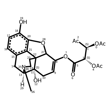 CC(=O)O[C@H](C(C)=O)[C@H](OC(C)=O)C(=O)OC1=CC[C@@]2(O)[C@H]3Cc4ccc(O)c5c4C2(CCN3C)C1O5